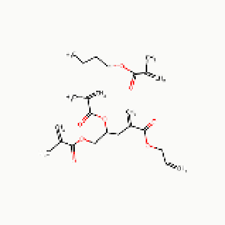 C=C(C)C(=O)OCCCC.C=CCOC(=O)C(=C)CC(COC(=O)C(=C)C)OC(=O)C(=C)C